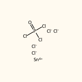 O=P(Cl)(Cl)Cl.[Cl-].[Cl-].[Cl-].[Cl-].[Sn+4]